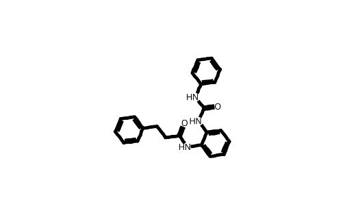 O=C(CCc1ccccc1)Nc1ccccc1NC(=O)Nc1ccccc1